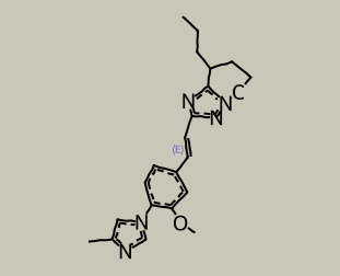 CCCC1CCCn2nc(/C=C/c3ccc(-n4cnc(C)c4)c(OC)c3)nc21